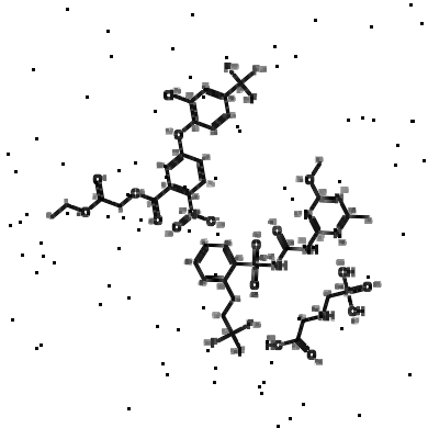 CCOC(=O)COC(=O)c1cc(Oc2ccc(C(F)(F)F)cc2Cl)ccc1[N+](=O)[O-].COc1nc(C)nc(NC(=O)NS(=O)(=O)c2ccccc2CCC(F)(F)F)n1.O=C(O)CNCP(=O)(O)O